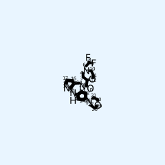 O=C(C1CCN(CC(F)F)CCO1)N1Cc2cccnc2Nc2ccc(N3CCOCC3)cc21